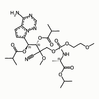 COCCOP(=O)(N[C@@H](C)C(=O)OC(C)C)OCC(C#N)(OC)[C@@H](OC(=O)C(C)C)[C@@H](OC(=O)C(C)C)c1ccc2c(N)ncnn12